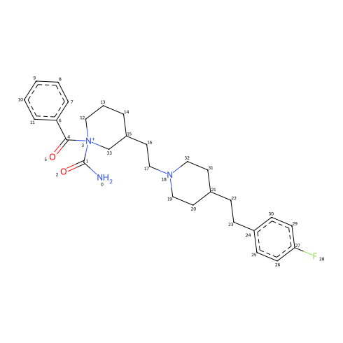 NC(=O)[N+]1(C(=O)c2ccccc2)CCCC(CCN2CCC(CCc3ccc(F)cc3)CC2)C1